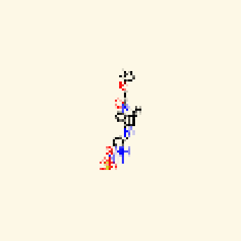 Cc1cccc(OCCCC(=O)N2C[C@@H]3C[C@@H]3c3c(-c4cnn(Cc5cccc(NC(=O)NOS(C)(=O)=O)c5)c4)cccc32)c1C